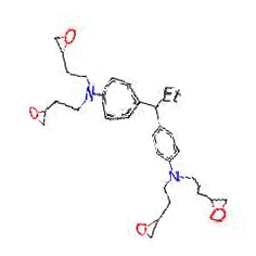 CCC(c1ccc(N(CCC2CO2)CCC2CO2)cc1)c1ccc(N(CCC2CO2)CCC2CO2)cc1